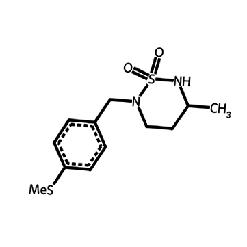 CSc1ccc(CN2CCC(C)NS2(=O)=O)cc1